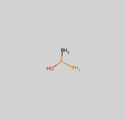 BP(O)P